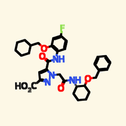 O=C(Cn1nc(C(=O)O)cc1C(=O)Nc1ccc(F)cc1OCC1CCCCC1)N[C@H]1CCCC[C@@H]1OCc1ccccc1